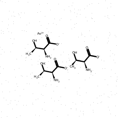 C[C@@H](O)[C@H](N)C(=O)[O-].C[C@@H](O)[C@H](N)C(=O)[O-].C[C@@H](O)[C@H](N)C(=O)[O-].[Au+3]